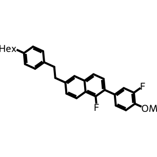 CCCCCCc1ccc(CCc2ccc3c(F)c(-c4ccc(OC)c(F)c4)ccc3c2)cc1